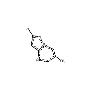 Cc1cnc2cc(Cl)nn2c1